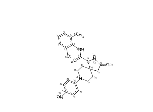 CCc1cccc(C)c1NC(=O)N1NC(=O)CC12CCN(c1ccc(N=O)cc1)CC2